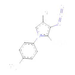 CCOC(=O)c1c(N=[N+]=[N-])c(C#N)cn1-c1ccc(OC)cc1